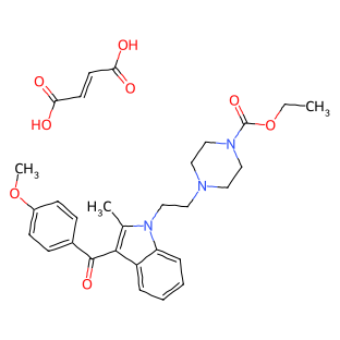 CCOC(=O)N1CCN(CCn2c(C)c(C(=O)c3ccc(OC)cc3)c3ccccc32)CC1.O=C(O)C=CC(=O)O